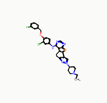 CCN1CCC(n2cc3c(n2)CCc2c-3sc3ncnc(Nc4ccc(OCc5cccc(F)c5)c(Cl)c4)c23)CC1